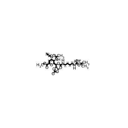 COC(=O)C1=C[C@H](N=[N+]=[N-])[C@@H](NC(C)=O)[C@H]([C@H](OC(=O)NCCCCNC(=O)OC(C)(C)C)[C@H]2COC(=O)O2)O1